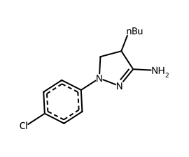 CCCCC1CN(c2ccc(Cl)cc2)N=C1N